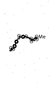 C=CC(=O)Oc1ccc(-c2ccc(/C=C/C(=O)c3ccc(OCCCOC(=O)C(=C)CC(=O)OC)cc3)cc2)cc1